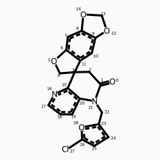 O=C1CC2(COc3cc4c(cc32)OCO4)c2ncccc2N1Cc1ccc(Cl)o1